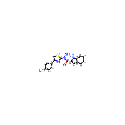 N#Cc1ccc(-c2csc(N(N)C(=O)c3cc4ccccc4[nH]3)n2)cc1